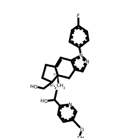 COc1ccc(C(O)C[C@]2(CO)CCC3=Cc4c(cnn4-c4ccc(F)cc4)C[C@@]32C)nc1